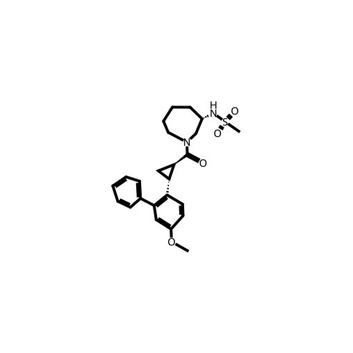 COc1ccc([C@@H]2C[C@H]2C(=O)N2CCCC[C@H](NS(C)(=O)=O)C2)c(-c2ccccc2)c1